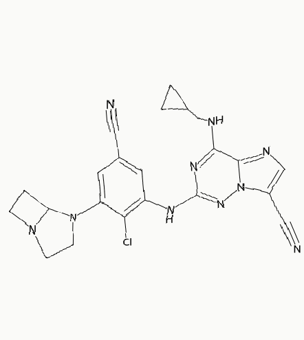 N#Cc1cc(Nc2nc(NC3CC3)c3ncc(C#N)n3n2)c(Cl)c(N2CCN3CCC32)c1